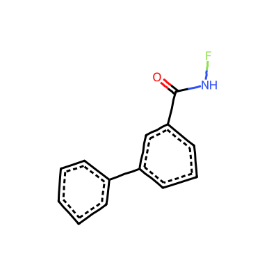 O=C(NF)c1cccc(-c2ccccc2)c1